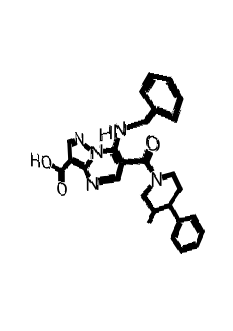 CC1CN(C(=O)c2cnc3c(C(=O)O)cnn3c2NCc2ccccc2)CCC1c1ccccc1